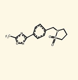 O=S1(=O)CCCN1Cc1ccc(-c2noc(C(F)(F)F)n2)cc1